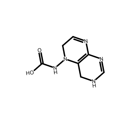 O=C(O)NN1CC=NC2=C1CNC=N2